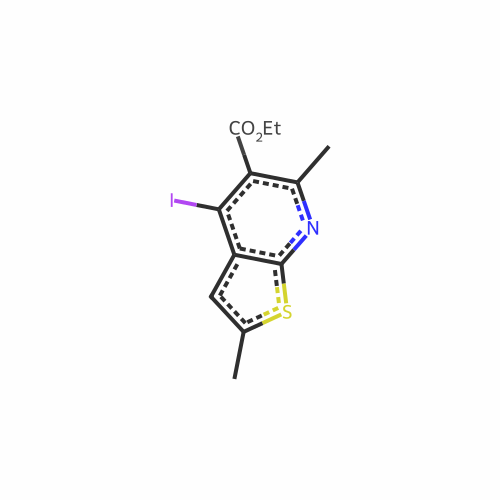 CCOC(=O)c1c(C)nc2sc(C)cc2c1I